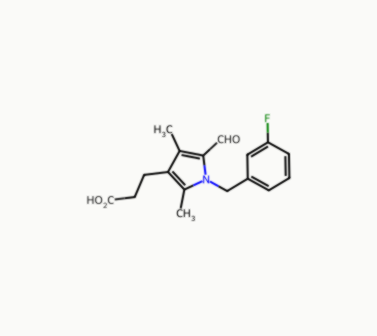 Cc1c(CCC(=O)O)c(C)n(Cc2cccc(F)c2)c1C=O